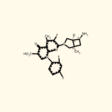 Cc1c(F)c(N2C[C@H]3[C@@H](N)C[C@@]3(C)C2)nc2c1c(=O)c(C(=O)O)cn2-c1ccc(F)cc1F